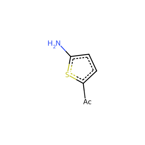 CC(=O)c1ccc(N)s1